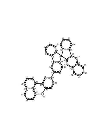 c1ccc2c(c1)-c1cc(-c3ccc4c(c3)-c3cccc5cccc(c35)O4)ccc1C21c2ccccc2-c2cc3ccccc3cc21